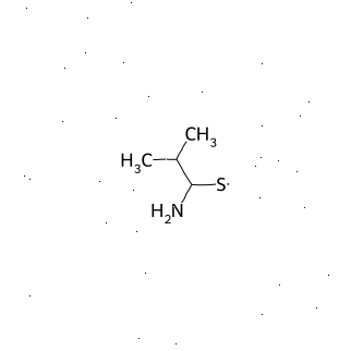 CC(C)C(N)[S]